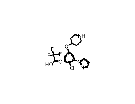 Clc1ccc(OC2CCNCC2)cc1-n1cccn1.O=C(O)C(F)(F)F